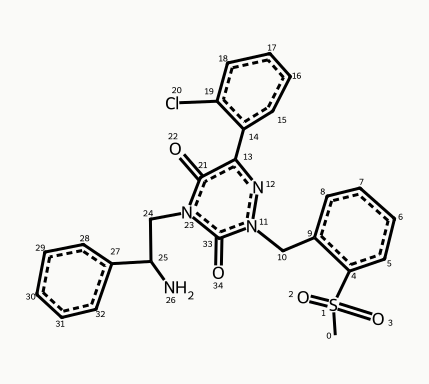 CS(=O)(=O)c1ccccc1Cn1nc(-c2ccccc2Cl)c(=O)n(CC(N)c2ccccc2)c1=O